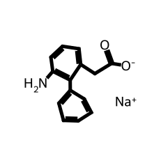 Nc1cccc(CC(=O)[O-])c1-c1ccccc1.[Na+]